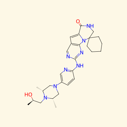 C[C@@H]1CN(c2ccc(Nc3ncc4cc5n(c4n3)C3(CCCCC3)CNC5=O)nc2)C[C@H](C)N1C[C@@H](C)O